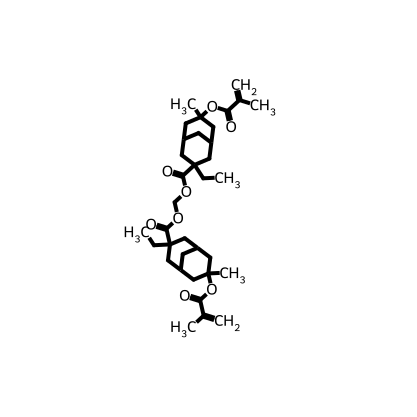 C=C(C)C(=O)OC1(C)CC2CC(C1)CC(CC)(C(=O)OCOC(=O)C1(CC)CC3CC(CC(C)(OC(=O)C(=C)C)C3)C1)C2